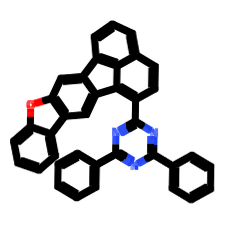 c1ccc(-c2nc(-c3ccccc3)nc(-c3ccc4cccc5c4c3-c3cc4c(cc3-5)oc3ccccc34)n2)cc1